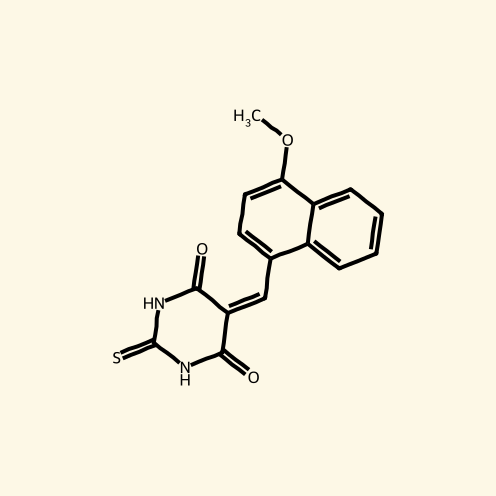 COc1ccc(C=C2C(=O)NC(=S)NC2=O)c2ccccc12